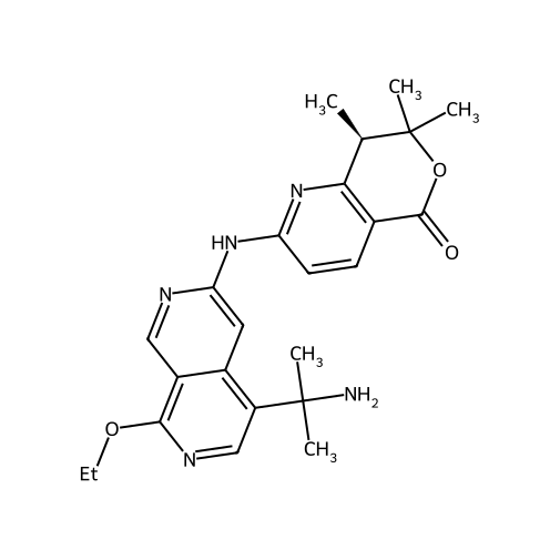 CCOc1ncc(C(C)(C)N)c2cc(Nc3ccc4c(n3)[C@@H](C)C(C)(C)OC4=O)ncc12